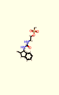 CC1Cc2ccccc2C1NC(=O)NCCOS(C)(=O)=O